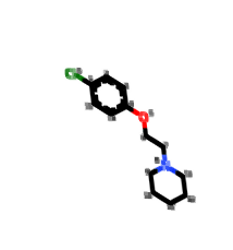 Clc1ccc(OCCN2CC[CH]CC2)cc1